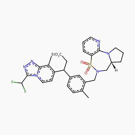 CCOC(=O)CC(c1ccc(C)c(CN2C[C@H]3CCCN3c3ncccc3S2(=O)=O)c1)c1ccn2c(C(F)F)nnc2c1C